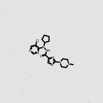 CN1CCN(c2ncc(C(=O)NN(c3ncncc3Cl)C3CCCC3)s2)CC1